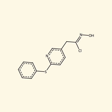 O/N=C(\Cl)Cc1ccc(Sc2ccccc2)nc1